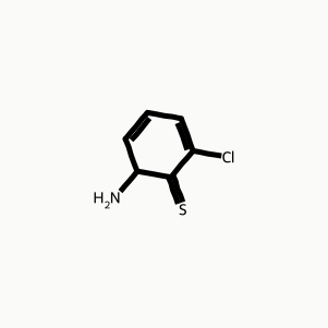 NC1C=CC=C(Cl)C1=S